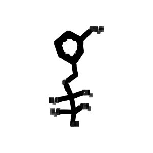 CC(C)(O)C(C)(C)OCc1cccc(C(=O)O)c1